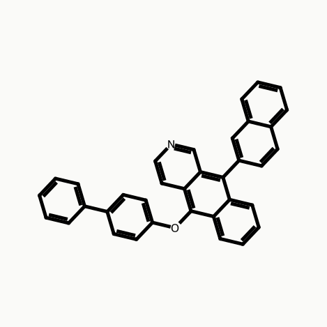 c1ccc(-c2ccc(Oc3c4ccccc4c(-c4ccc5ccccc5c4)c4cnccc34)cc2)cc1